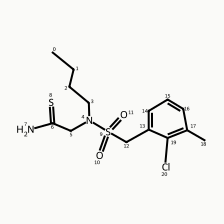 CCCCN(CC(N)=S)S(=O)(=O)Cc1cccc(C)c1Cl